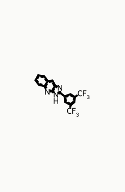 FC(F)(F)c1cc(-c2nc3cc4ccccc4nc3[nH]2)cc(C(F)(F)F)c1